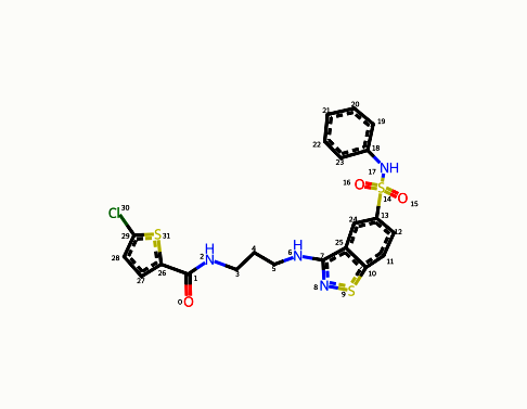 O=C(NCCCNc1nsc2ccc(S(=O)(=O)Nc3ccccc3)cc12)c1ccc(Cl)s1